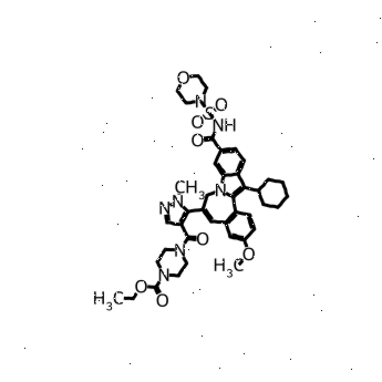 CCOC(=O)N1CCN(C(=O)c2cnn(C)c2C2=Cc3cc(OC)ccc3-c3c(C4CCCCC4)c4ccc(C(=O)NS(=O)(=O)N5CCOCC5)cc4n3C2)CC1